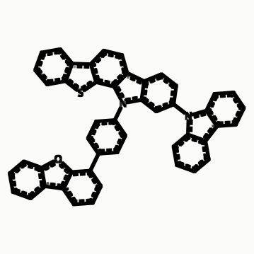 c1ccc2c(c1)oc1c(-c3ccc(-n4c5cc(-n6c7ccccc7c7ccccc76)ccc5c5ccc6c7ccccc7sc6c54)cc3)cccc12